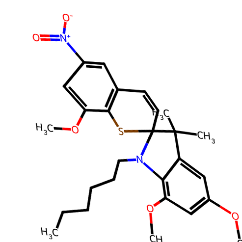 CCCCCCN1c2c(OC)cc(OC)cc2C(C)(C)C12C=Cc1cc([N+](=O)[O-])cc(OC)c1S2